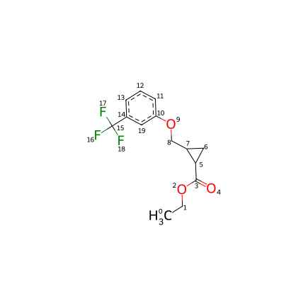 CCOC(=O)C1CC1COc1cccc(C(F)(F)F)c1